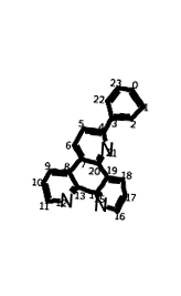 c1ccc(-c2ccc3c4cccnc4c4ncccc4c3n2)cc1